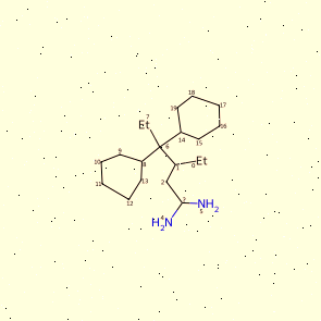 CCC(CC(N)N)C(CC)(C1CCCCC1)C1CCCCC1